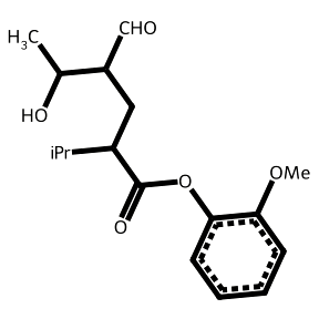 COc1ccccc1OC(=O)C(CC(C=O)C(C)O)C(C)C